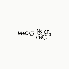 COc1ccc(-c2nsc(-c3ccccc3C(F)(F)F)c2C#N)cc1